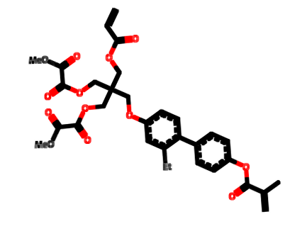 C=CC(=O)OCC(COC(=O)C(=O)OC)(COC(=O)C(=O)OC)COc1ccc(-c2ccc(OC(=O)C(=C)C)cc2)c(CC)c1